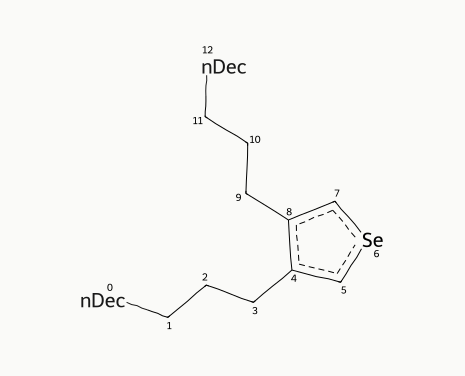 CCCCCCCCCCCCCc1c[se]cc1CCCCCCCCCCCCC